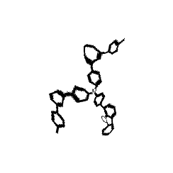 Cc1ccc(-c2cccc(-c3ccc(N(c4ccc(-c5cccc(-c6ccc(C)cc6)c5)cc4)c4ccc(-c5cccc6c5oc5ccccc56)cc4)cc3)c2)cc1